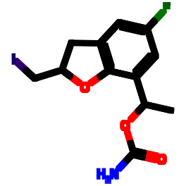 CC(OC(N)=O)c1cc(F)cc2c1OC(CI)C2